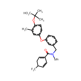 CCCN(Cc1cccc(Oc2ccc(OC(C)(C)C(=O)O)c(C)c2)c1)C(=O)C1=CCC(C(F)(F)F)C=C1